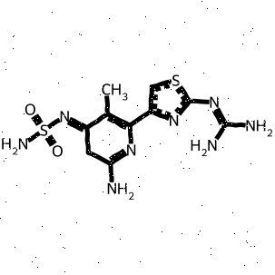 CC1=C(c2csc(N=C(N)N)n2)N=C(N)CC1=NS(N)(=O)=O